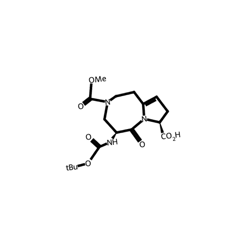 COC(=O)N1CCC2=CC[C@@H](C(=O)O)N2C(=O)[C@@H](NC(=O)OC(C)(C)C)C1